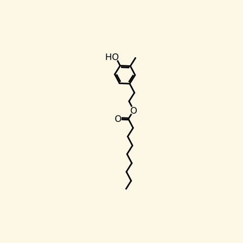 CCCCCCCCC(=O)OCCc1ccc(O)c(C)c1